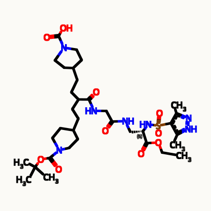 CCOC(=O)[C@H](CNC(=O)CNC(=O)C(CCC1CCN(C(=O)O)CC1)CCC1CCN(C(=O)OC(C)(C)C)CC1)NS(=O)(=O)c1c(C)n[nH]c1C